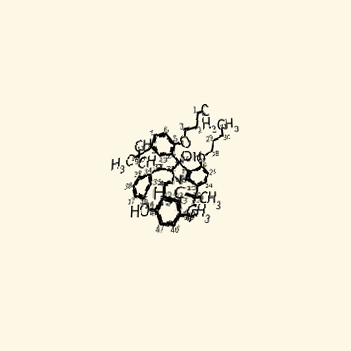 CCCCOc1ccc(C(C)(C)C)cc1C(O)(c1cc(C(C)(C)C)ccc1OCCCC)C(Cc1ccccc1)N=Cc1cc(F)ccc1O